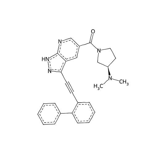 CN(C)[C@@H]1CCN(C(=O)c2cnc3[nH]nc(C#Cc4ccccc4-c4ccccc4)c3c2)C1